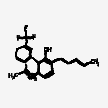 C=C(C)[C@@H]1CCC(C(F)(F)F)=C[C@H]1c1c(O)ccc(CCCCC)c1O